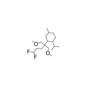 COCC(CCC(F)F)(COC)C1CC(C)CCC1C(C)C